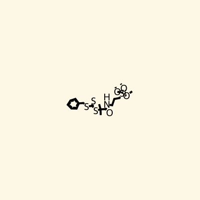 CO[Si](CCCNC(=O)C(C)(C)SC(=S)SCc1ccccc1)(OC)OC